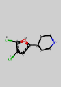 Clc1cc(C2CC[N]CC2)oc1Cl